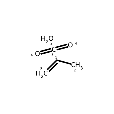 C=CC.O.O=C=O